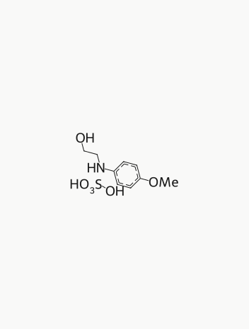 COc1ccc(NCCO)cc1.O=S(=O)(O)O